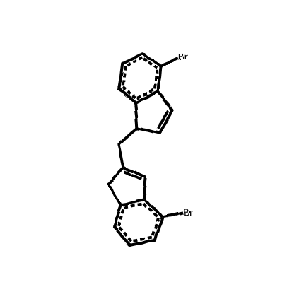 Brc1cccc2c1C=C(CC1C=Cc3c(Br)cccc31)C2